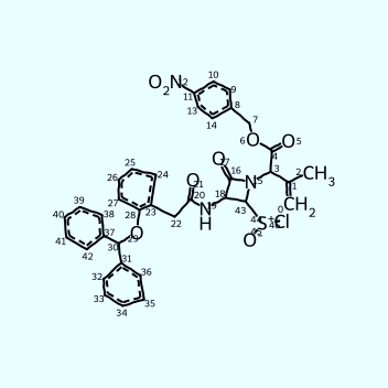 C=C(C)C(C(=O)OCc1ccc([N+](=O)[O-])cc1)N1C(=O)C(NC(=O)Cc2ccccc2OC(c2ccccc2)c2ccccc2)C1[S+]([O-])Cl